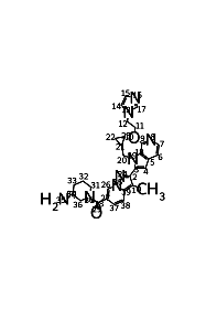 Cc1c(-c2cc3ccnc(OCCn4ccnc4)c3n2CC2CC2)nn2cc(C(=O)N3CCC[C@@H](N)C3)ccc12